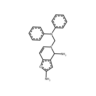 Nc1cc2c(o1)C=CN(CN(c1ccccc1)c1ccccc1)C2N